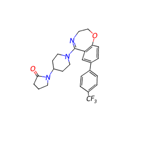 O=C1CCCN1C1CCN(C2=NCCOc3ccc(-c4ccc(C(F)(F)F)cc4)cc32)CC1